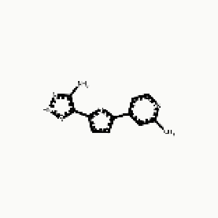 Cc1cc(-c2ccc(-c3n[nH]nc3N)s2)ccn1